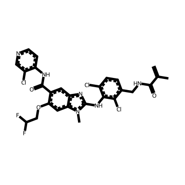 C=C(C)C(=O)NCc1ccc(Cl)c(Nc2nc3cc(C(=O)Nc4ccncc4Cl)c(OCC(F)F)cc3n2C)c1Cl